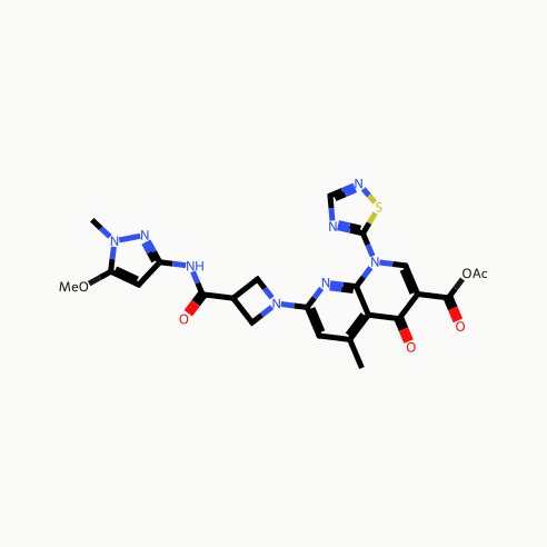 COc1cc(NC(=O)C2CN(c3cc(C)c4c(=O)c(C(=O)OC(C)=O)cn(-c5ncns5)c4n3)C2)nn1C